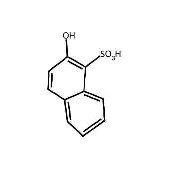 O=S(=O)(O)c1c(O)ccc2ccccc12